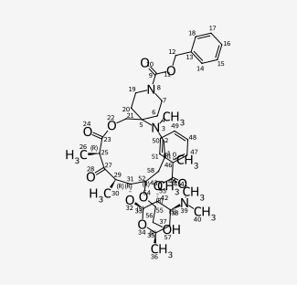 C[C@H]1CN(C)C2(CCN(C(=O)OCc3ccccc3)CC2)COC(=O)[C@H](C)C(=O)[C@H](C)[C@@H](O[C@@H]2O[C@H](C)C[C@H](N(C)C)[C@H]2OC(=O)c2ccccc2)[C@](C)(OCCO)C1